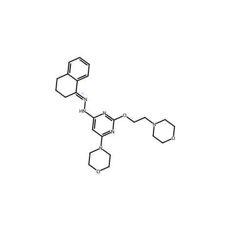 c1ccc2c(c1)CCC/C2=N\Nc1cc(N2CCOCC2)nc(OCCN2CCOCC2)n1